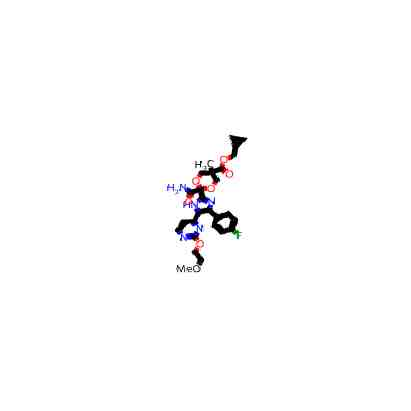 COCCOc1nccc(-c2[nH]c(C3(C(N)=O)OCC(C)(C(=O)OCC4CC4)CO3)nc2-c2ccc(F)cc2)n1